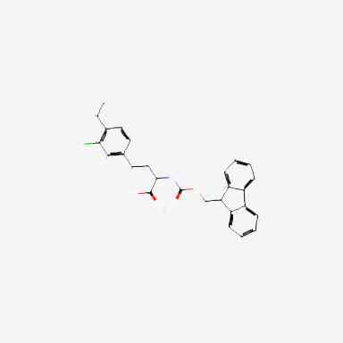 CCc1ccc(CCC(NC(=O)OCC2c3ccccc3-c3ccccc32)C(=O)O)cc1Cl